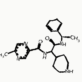 Cc1cnc(C(=O)NC(C(=O)N[C@H](C)C2=CCCC=C2)C2CCNCC2)cn1